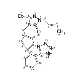 CC=CCn1nc(CC)n(Cc2ccc(-c3ccccc3-c3nnn[nH]3)cc2)c1=O